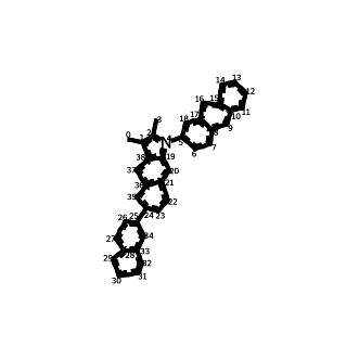 Cc1c(C)n(-c2ccc3cc4ccccc4cc3c2)c2cc3ccc(-c4ccc5ccccc5c4)cc3cc12